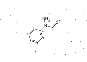 NN([C]=S)c1ccccc1